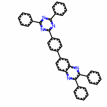 c1ccc(-c2nc(-c3ccccc3)nc(-c3ccc(-c4ccc5nc(-c6ccccc6)c(-c6ccccc6)nc5c4)cc3)n2)cc1